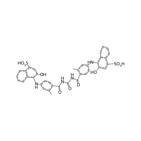 Cc1cc(Nc2c(O)cc(S(=O)(=O)O)c3ccccc23)ccc1C(=O)NC(=O)NC(=O)c1ccc(Nc2c(O)cc(S(=O)(=O)O)c3ccccc23)cc1C